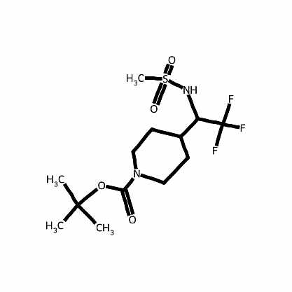 CC(C)(C)OC(=O)N1CCC(C(NS(C)(=O)=O)C(F)(F)F)CC1